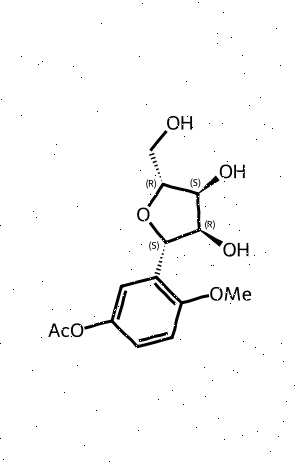 COc1ccc(OC(C)=O)cc1[C@@H]1O[C@H](CO)[C@@H](O)[C@H]1O